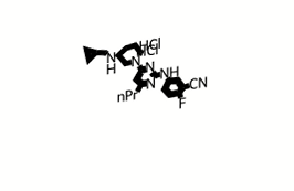 CCCc1cc(N2CCC[C@@H](NCC3CC3)C2)nc(Nc2ccc(F)c(C#N)c2)n1.Cl.Cl